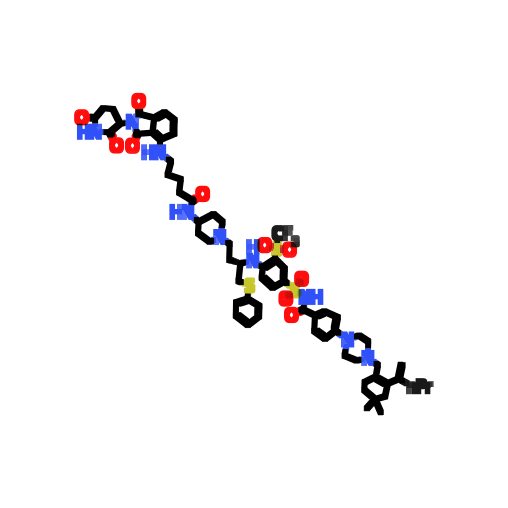 C=C(CCC)C1=C(CN2CCN(c3ccc(C(=O)NS(=O)(=O)c4ccc(N[C@H](CCN5CCC(NC(=O)CCCCNc6cccc7c6C(=O)N(C6CCC(=O)NC6=O)C7=O)CC5)CSc5ccccc5)c(S(=O)(=O)C(F)(F)F)c4)cc3)CC2)CCC(C)(C)C1